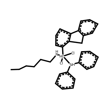 CCCCCC[NH][Hf]([Cl])([Cl])([c]1cccc2c1Cc1ccccc1-2)[SiH](c1ccccc1)c1ccccc1